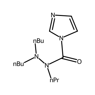 CCCCN(CCCC)N(CCC)C(=O)n1ccnc1